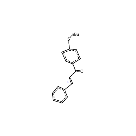 CCCCSc1ccc(C(=O)/C=C/c2ccccc2)cc1